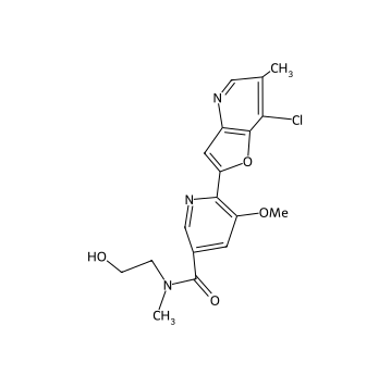 COc1cc(C(=O)N(C)CCO)cnc1-c1cc2ncc(C)c(Cl)c2o1